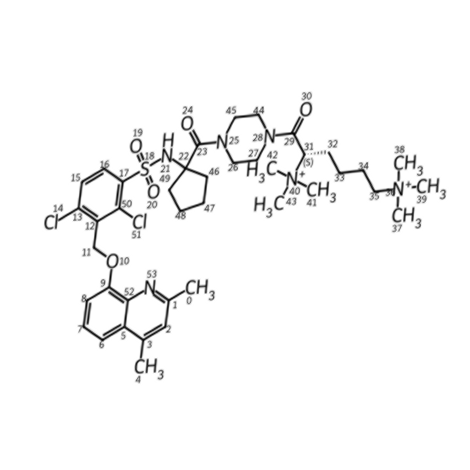 Cc1cc(C)c2cccc(OCc3c(Cl)ccc(S(=O)(=O)NC4(C(=O)N5CCN(C(=O)[C@H](CCCC[N+](C)(C)C)[N+](C)(C)C)CC5)CCCC4)c3Cl)c2n1